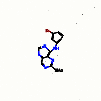 CSc1ncc2ncnc(Nc3cccc(Br)c3)c2n1